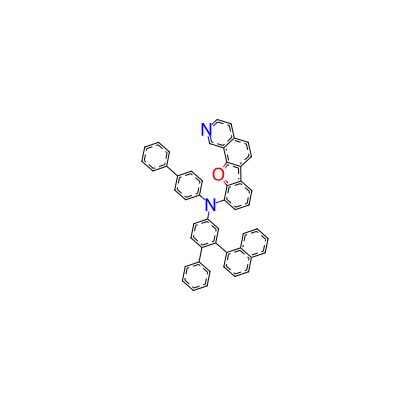 c1ccc(-c2ccc(N(c3ccc(-c4ccccc4)c(-c4cccc5ccccc45)c3)c3cccc4c3oc3c5cnccc5ccc43)cc2)cc1